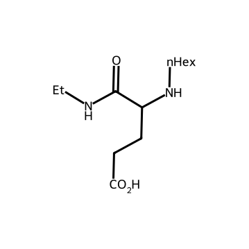 CCCCCCNC(CCC(=O)O)C(=O)NCC